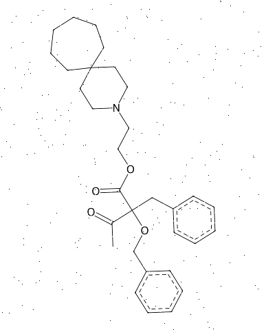 CC(=O)C(Cc1ccccc1)(OCc1ccccc1)C(=O)OCCN1CCC2(CCCCCC2)CC1